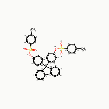 Cc1ccc(S(=O)(=O)Oc2ccc(C3(c4ccc(OS(=O)(=O)c5ccc(C)cc5)cc4)c4ccccc4-c4ccccc43)cc2)cc1